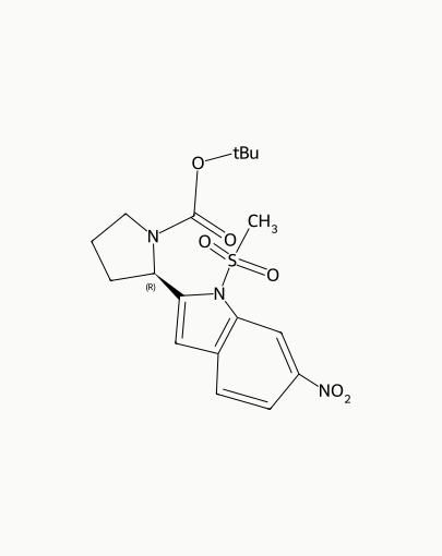 CC(C)(C)OC(=O)N1CCC[C@@H]1c1cc2ccc([N+](=O)[O-])cc2n1S(C)(=O)=O